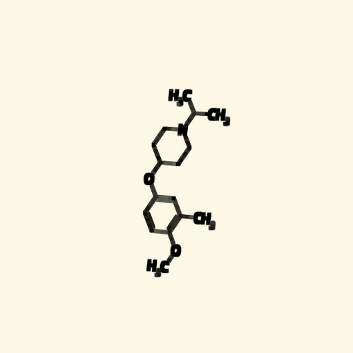 COc1ccc(OC2CCN(C(C)C)CC2)cc1C